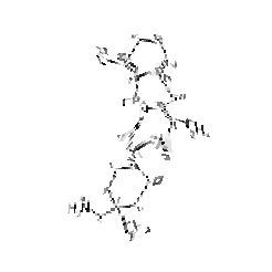 Cc1nc(N2CCC(C)(CN)CC2)cnc1Sc1cccc(Cl)c1Cl